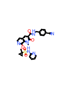 Cn1c(=O)c(C(=O)NCc2ccc(C#N)cc2)cc2ccnc(OCC3(S(=O)(=O)Nc4ccccn4)CC3)c21